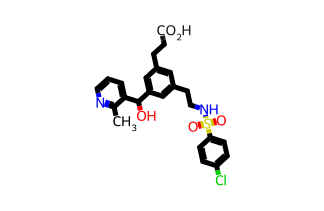 Cc1ncccc1C(O)c1cc(CCNS(=O)(=O)c2ccc(Cl)cc2)cc(CCC(=O)O)c1